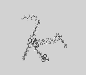 CCCCC/C=C\C/C=C\CCCCCCCC(=O)OC(CCCCCCCC)C(CCCCCCCC(=O)O)OC(=O)CCCCCCC/C=C\C/C=C\CCCCC